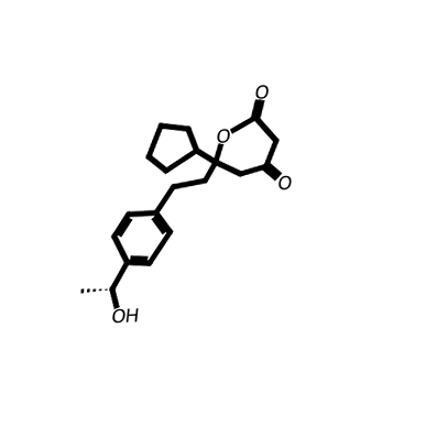 C[C@@H](O)c1ccc(CCC2(C3CCCC3)CC(=O)CC(=O)O2)cc1